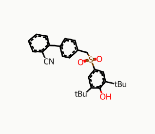 CC(C)(C)c1cc(S(=O)(=O)Cc2ccc(-c3ccccc3C#N)cc2)cc(C(C)(C)C)c1O